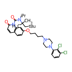 CC(C)N(C(=O)n1c(=O)ccc2ccc(OCCCCN3CCN(c4cccc(Cl)c4Cl)CC3)cc21)C(C)(C)CC(C)(C)C